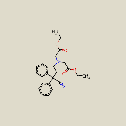 CCOC(=O)CN(CCC(C#N)(c1ccccc1)c1ccccc1)CC(=O)OCC